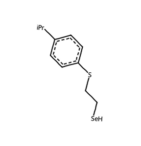 CC(C)c1ccc(SCC[SeH])cc1